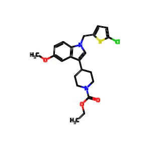 CCOC(=O)N1CCC(c2cn(Cc3ccc(Cl)s3)c3ccc(OC)cc23)CC1